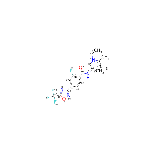 CCN(CC(C)NC(=O)c1ccc(-c2noc(C(F)(F)F)n2)cc1F)C(C)C